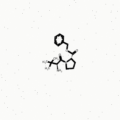 CC(C)(C)[C@H](N)C(=O)N1CCC[C@H]1C(=O)OCc1ccccc1